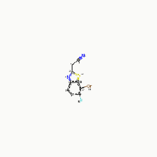 N#CCc1nc2ccc(F)c(Br)c2s1